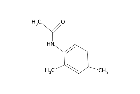 CC(=O)NC1=CCC(C)C=C1C